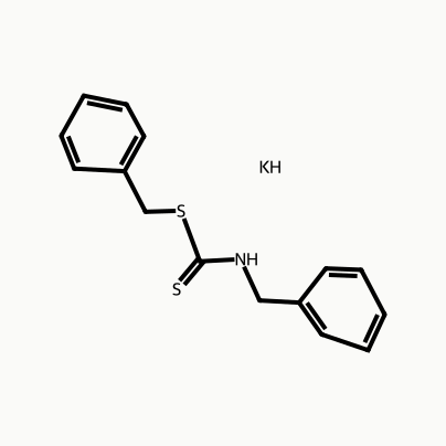 S=C(NCc1ccccc1)SCc1ccccc1.[KH]